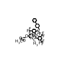 CCN(CC1CCC(c2ccccc2)CC1)c1ccc(C(F)(F)F)cc1CN(c1ncc(OCCS(C)(=O)=O)cn1)C(C)c1cc(C(F)(F)F)cc(C(F)(F)F)c1